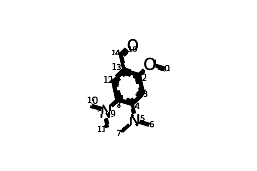 COc1cc(N(C)C)c(N(C)C)cc1C=O